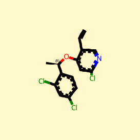 C=Cc1cnc(Cl)cc1O[C@H](C)c1ccc(Cl)cc1Cl